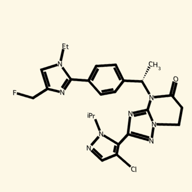 CCn1cc(CF)nc1-c1ccc([C@H](C)N2C(=O)CCn3nc(-c4c(Cl)cnn4C(C)C)nc32)cc1